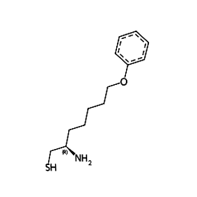 N[C@@H](CS)CCCCCOc1ccccc1